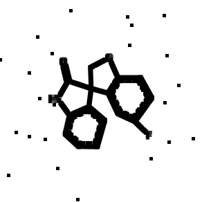 O=C1Nc2ccccc2C12COc1ccc(F)cc12